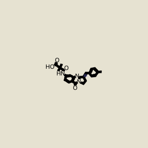 Cc1ccc(/C=C2\CCn3c2nc2cc(NC(=O)C(C)(C)C(=O)O)ccc2c3=O)cc1